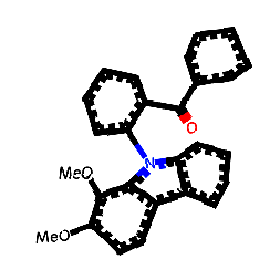 COc1ccc2c3ccccc3n(-c3ccccc3C(=O)c3ccccc3)c2c1OC